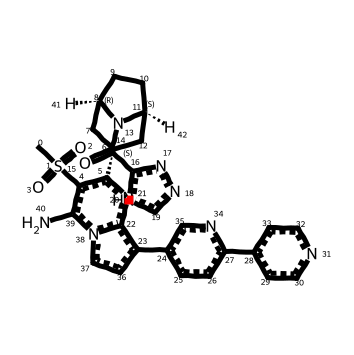 CS(=O)(=O)c1c([C@@H]2C[C@H]3CC[C@@H](C2)N3C(=O)c2nnc[nH]2)nc2c(-c3ccc(-c4ccncc4)nc3)ccn2c1N